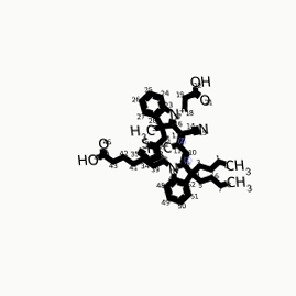 CCCCC1(CCCC)/C(=C/C(C)=C(\C#N)C2=[N+](CCC(=O)O)c3ccccc3C2(C)Cc2cccs2)N(CCCCCCC(=O)O)c2ccccc21